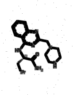 CC(C)C[C@H](Nc1nc(CN2CCNCC2)nc2ccccc12)C(N)=O